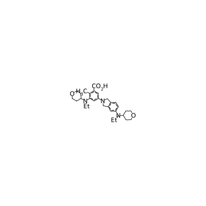 CCN(c1ccc2c(c1)CN(c1cc(C(=O)O)c(C)c(N(CC)C3CCOCC3)c1)C2)C1CCOCC1